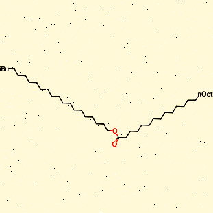 CCCCCCCCC=CCCCCCCCCCCCC(=O)OCCCCCCCCCCCCCCCCCCC(C)CC